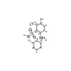 CN(Cc1ccccc1)S(=O)(=O)c1c(N)ccc(I)c1Cl